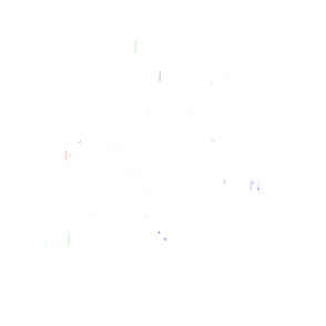 COC(=O)C1CN2CCC1CC2.Cl.Cl.OCC1CN2CCC1CC2